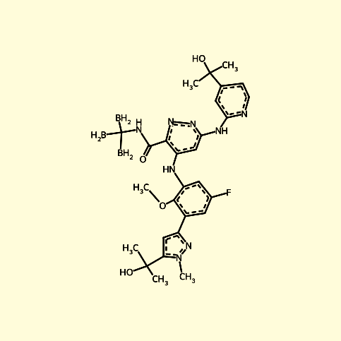 BC(B)(B)NC(=O)c1nnc(Nc2cc(C(C)(C)O)ccn2)cc1Nc1cc(F)cc(-c2cc(C(C)(C)O)n(C)n2)c1OC